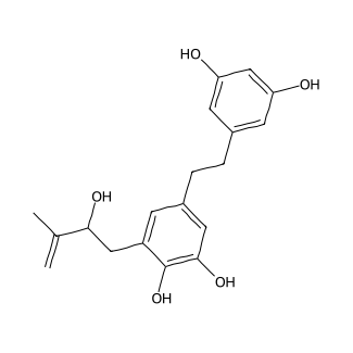 C=C(C)C(O)Cc1cc(CCc2cc(O)cc(O)c2)cc(O)c1O